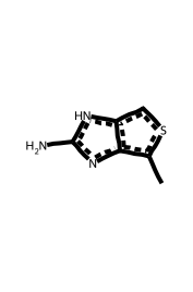 Cc1scc2[nH]c(N)nc12